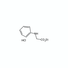 CCOC(=O)CNc1ccccc1.Cl